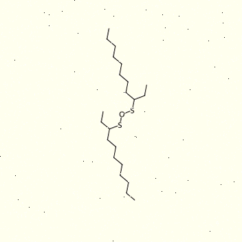 CCCCCCCCC(CC)SOSC(CC)CCCCCCCC